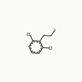 Clc1cccc(Cl)c1CCI